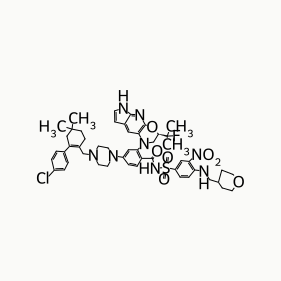 CC1(C)CCC(CN2CCN(c3ccc(C(=O)NS(=O)(=O)c4ccc(NCC5CCOCC5)c([N+](=O)[O-])c4)c(N4C[C@H](C(C)(C)F)Oc5nc6[nH]ccc6cc54)c3)CC2)=C(c2ccc(Cl)cc2)C1